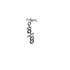 CN(C)[C@@H]1CCN(c2nc3ccc(NC(=O)c4cc5ccccc5cn4)cc3s2)C1